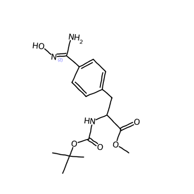 COC(=O)C(Cc1ccc(/C(N)=N/O)cc1)NC(=O)OC(C)(C)C